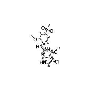 COc1cc(S(C)(=O)=O)ccc1Nc1nc(OC)c2c(Cl)c[nH]c2n1